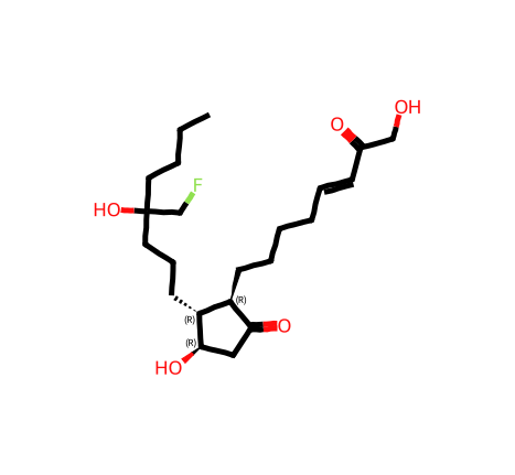 CCCCC(O)(CF)CCC[C@H]1[C@H](O)CC(=O)[C@@H]1CCCCC=CC(=O)CO